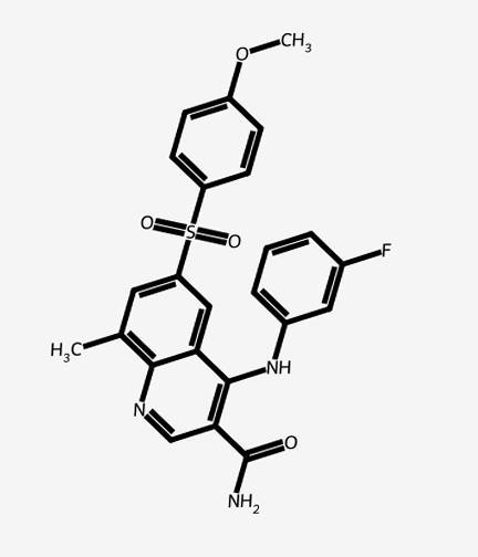 COc1ccc(S(=O)(=O)c2cc(C)c3ncc(C(N)=O)c(Nc4cccc(F)c4)c3c2)cc1